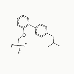 CC(C)Cc1ccc(-c2ccccc2OCC(F)(F)F)cc1